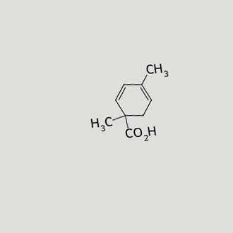 CC1=CCC(C)(C(=O)O)C=C1